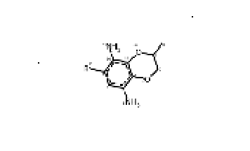 CC1COc2c(N)cc(Br)c(N)c2O1